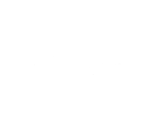 CCC(C)(C)C(=O)Oc1ccc(C(O)C(C)C)cc1